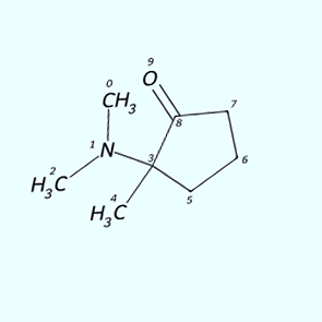 CN(C)C1(C)CCCC1=O